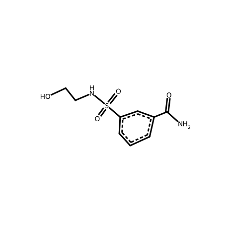 NC(=O)c1cccc(S(=O)(=O)NCCO)c1